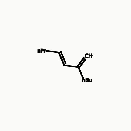 [CH]=C(C=CCCC)CCCC